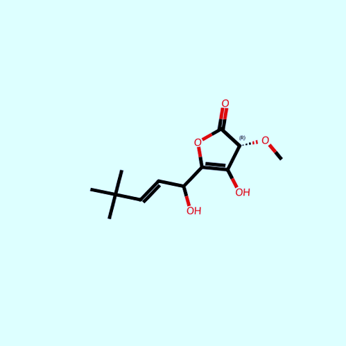 CO[C@H]1C(=O)OC(C(O)C=CC(C)(C)C)=C1O